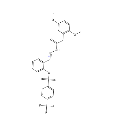 COc1ccc(OC)c(CC(=O)N/N=C/c2ccccc2OS(=O)(=O)c2ccc(C(F)(F)F)cc2)c1